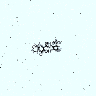 CC1(C)OCCCn2c1nc(C(=O)NCc1ccc(F)cc1S(C)(=O)=O)c(O)c2=O